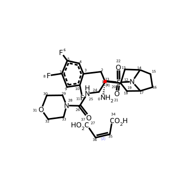 N[C@H](Cc1cc(F)c(F)cc1F)C1CC2CCC(C1)N2S(=O)(=O)CCNC(=O)N1CCOCC1.O=C(O)/C=C\C(=O)O